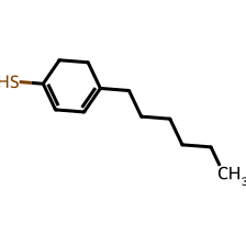 CCCCCCC1=CC=C(S)CC1